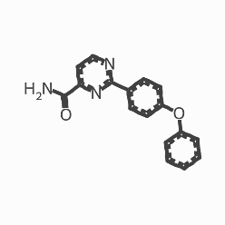 NC(=O)c1ccnc(-c2ccc(Oc3ccccc3)cc2)n1